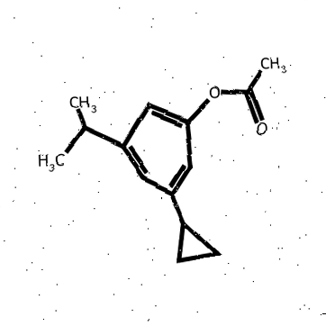 C[C](C)c1cc(OC(C)=O)cc(C2CC2)c1